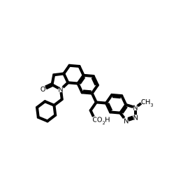 Cn1nnc2cc(C(CC(=O)O)c3ccc4c(c3)C3C(CC4)CC(=O)N3CC3CCCCC3)ccc21